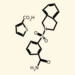 NC(=O)c1cccc(S(=O)(=O)N2CCc3ccccc3C2)c1.O=C(O)c1cccs1